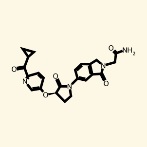 NC(=O)CN1Cc2ccc(N3CC[C@@H](Oc4ccc(C(=O)C5CC5)nc4)C3=O)cc2C1=O